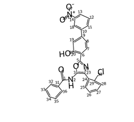 O=C(Nc1oc(-c2ccc(-c3cccc([N+](=O)[O-])c3)cc2O)nc1-c1ccccc1Cl)c1ccccc1